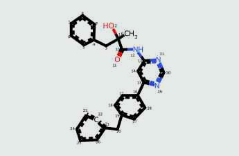 CC(O)(Cc1ccccc1)C(=O)Nc1cc(-c2ccc(Cc3ccccc3)cc2)ncn1